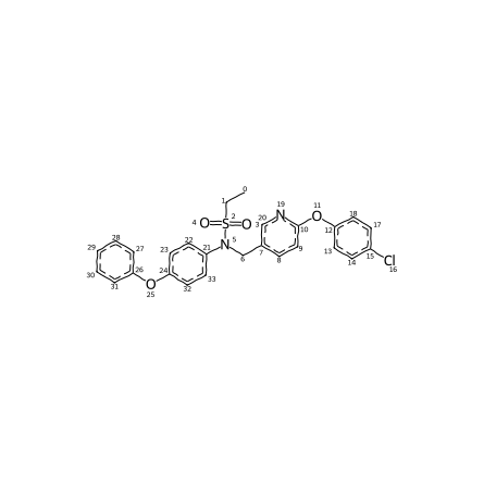 CCS(=O)(=O)N(Cc1ccc(Oc2ccc(Cl)cc2)nc1)c1ccc(Oc2ccccc2)cc1